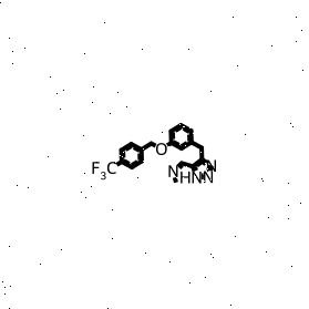 C/N=C\c1[nH]nnc1Cc1cccc(OCc2ccc(C(F)(F)F)cc2)c1